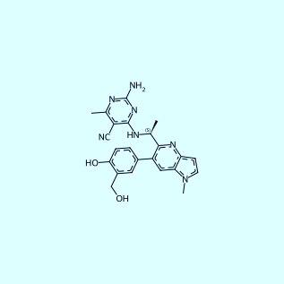 Cc1nc(N)nc(N[C@@H](C)c2nc3ccn(C)c3cc2-c2ccc(O)c(CO)c2)c1C#N